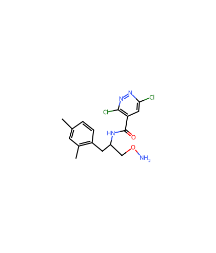 Cc1ccc(CC(CON)NC(=O)c2cc(Cl)nnc2Cl)c(C)c1